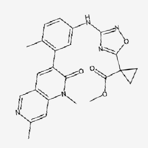 COC(=O)C1(c2nc(Nc3ccc(C)c(-c4cc5cnc(C)cc5n(C)c4=O)c3)no2)CC1